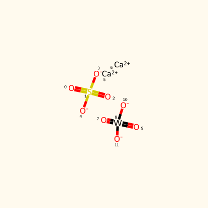 O=S(=O)([O-])[O-].[Ca+2].[Ca+2].[O]=[W](=[O])([O-])[O-]